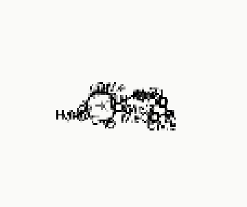 COc1ccc(-c2cnoc2-c2cc(OC)c(OC)c(OC)c2)cc1OC(=O)N1CCN(CCNC2=C3C[C@@H](C)C[C@H](OC)[C@@H](O)[C@@H](C)CC(C)[C@H](OC(N)=O)[C@@H](OC)CCCC(C)C(=O)CC(=CC2=O)C3O)CC1